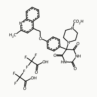 Cc1cc(COc2ccc(C3(N4CCN(C(=O)O)CC4)C(=O)NC(=O)NC3=O)cc2)c2ccccc2n1.O=C(O)C(F)(F)F.O=C(O)C(F)(F)F